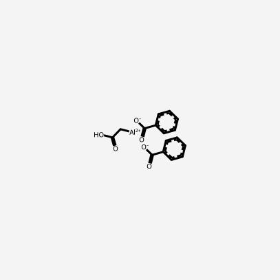 O=C(O)[CH2][Al+2].O=C([O-])c1ccccc1.O=C([O-])c1ccccc1